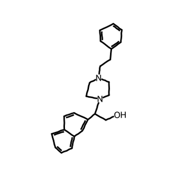 OCC(c1ccc2ccccc2c1)N1CCN(CCc2ccccc2)CC1